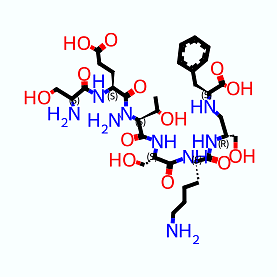 CC(O)[C@@H](C(=O)N[C@@H](CO)C(=O)N[C@@H](CCCCN)C(=O)N[C@@H](CO)CN[C@@H](Cc1ccccc1)C(=O)O)N(N)C(=O)[C@H](CCC(=O)O)NC(=O)[C@@H](N)CO